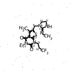 CCn1c(=O)c2c(C)c(CN3CCN/C3=N\C)sc2n(CCC(F)(F)F)c1=O